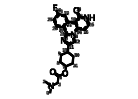 CN(C)CC(=O)OC1CCC(c2cn3c4cc[nH]c(=O)c4c4cc(F)ccc4c3n2)CC1